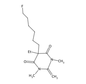 C=C1N(C)C(=O)C(CC)(CCCCCCF)C(=O)N1C